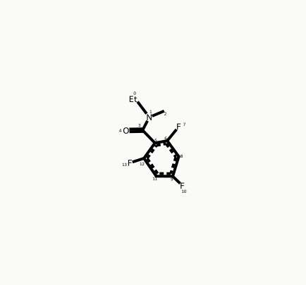 CCN(C)C(=O)c1c(F)cc(F)cc1F